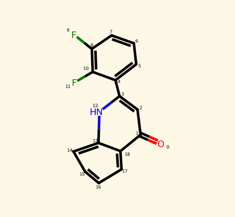 O=c1cc(-c2cccc(F)c2F)[nH]c2ccccc12